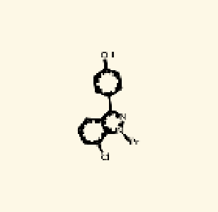 CC(C)n1nc(-c2ccc(O)cc2)c2cccc(Cl)c21